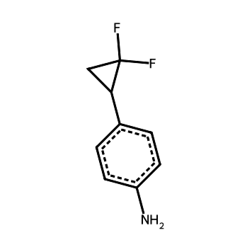 Nc1ccc(C2CC2(F)F)cc1